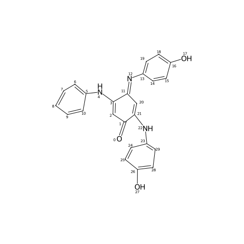 O=C1C=C(Nc2ccccc2)/C(=N/c2ccc(O)cc2)C=C1Nc1ccc(O)cc1